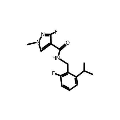 CC(C)c1cccc(F)c1CNC(=O)c1cn(C)nc1F